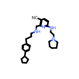 N#Cc1ccc(NCCN2CCCCC2)nc1CNCCCc1ccc(C2CCCC2)cc1